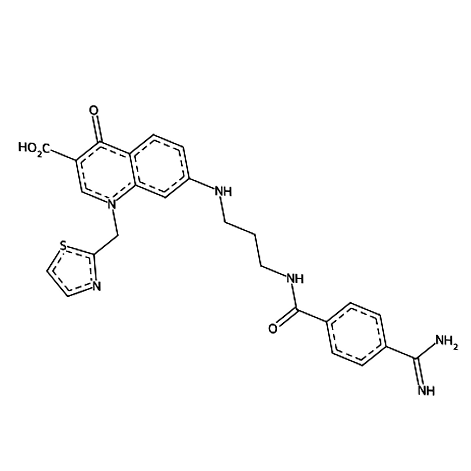 N=C(N)c1ccc(C(=O)NCCCNc2ccc3c(=O)c(C(=O)O)cn(Cc4nccs4)c3c2)cc1